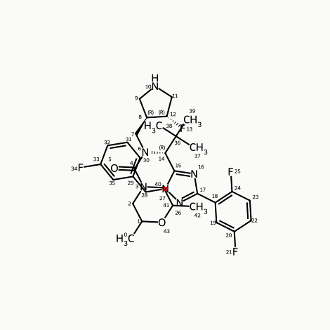 CC1CN(C(=O)N(C[C@H]2CNC[C@@H]2F)[C@@H](c2nc(-c3cc(F)ccc3F)nn2Cc2cccc(F)c2)C(C)(C)C)CC(C)O1